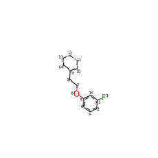 Fc1cccc(OCCC2CCCCC2)c1